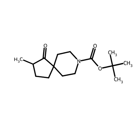 CC1CCC2(CCN(C(=O)OC(C)(C)C)CC2)C1=O